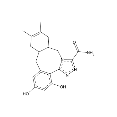 CC1=C(C)CC2Cn3c(C(N)=O)nnc3-c3c(O)cc(O)cc3CC2C1